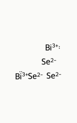 [Bi+3].[Bi+3].[Se-2].[Se-2].[Se-2]